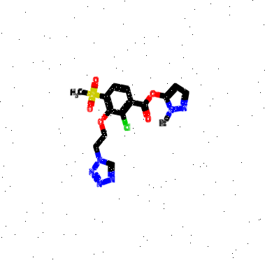 CCn1nccc1OC(=O)c1ccc(S(C)(=O)=O)c(OCCn2cnnn2)c1Cl